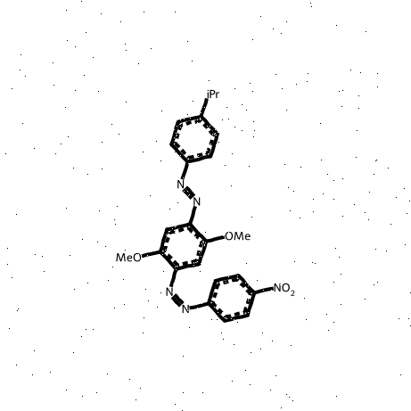 COc1cc(/N=N\c2ccc([N+](=O)[O-])cc2)c(OC)cc1N=Nc1ccc(C(C)C)cc1